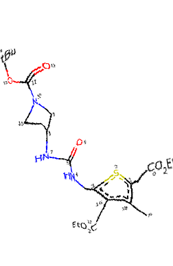 CCOC(=O)c1sc(NC(=O)NC2CN(C(=O)OC(C)(C)C)C2)c(C(=O)OCC)c1C